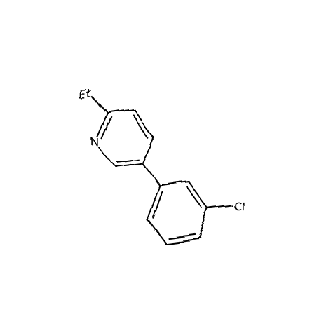 CCc1ccc(-c2cccc(Cl)c2)cn1